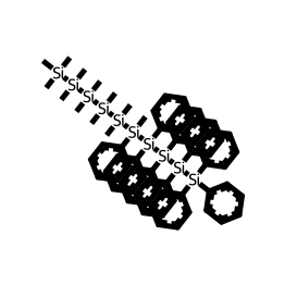 C[Si](C)(C)[Si](C)(C)[Si](C)(C)[Si](C)(C)[Si](C)(C)[Si](C)(c1ccccc1)[Si](c1ccccc1)(c1ccccc1)[Si](c1ccccc1)(c1ccccc1)[Si](c1ccccc1)(c1ccccc1)[Si](c1ccccc1)(c1ccccc1)c1ccccc1